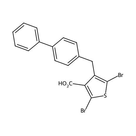 O=C(O)c1c(Br)sc(Br)c1Cc1ccc(-c2ccccc2)cc1